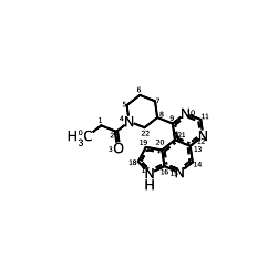 CCC(=O)N1CCCC(c2ncnc3cnc4[nH]ccc4c23)C1